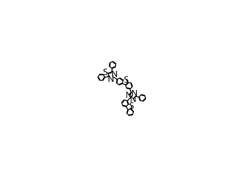 c1ccc(-c2nc(-c3ccc4sc5cc(-c6nc(-c7ccccc7)c7sc8ccccc8c7n6)ccc5c4c3)nc(-c3cccc4c3sc3ccccc34)n2)cc1